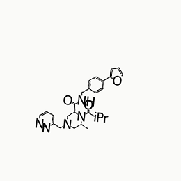 CC(C)C(=O)N1C(C)CN(Cc2cccnn2)CC1C(=O)NCc1ccc(-c2ccco2)cc1